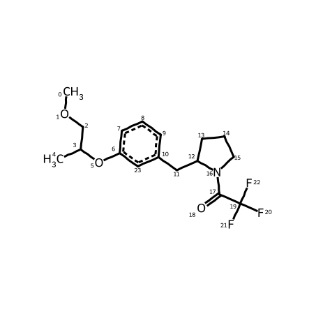 COCC(C)Oc1cccc(CC2CCCN2C(=O)C(F)(F)F)c1